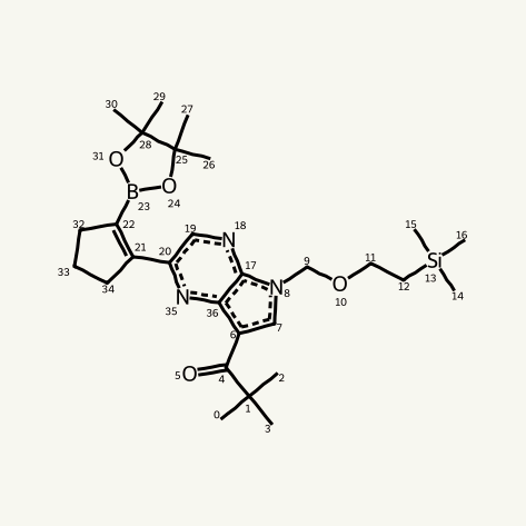 CC(C)(C)C(=O)c1cn(COCC[Si](C)(C)C)c2ncc(C3=C(B4OC(C)(C)C(C)(C)O4)CCC3)nc12